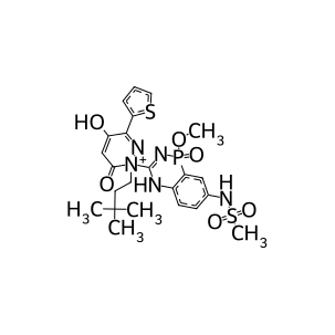 COP1(=O)N=C([N+]2(CCC(C)(C)C)N=C(c3cccs3)C(O)=CC2=O)Nc2ccc(NS(C)(=O)=O)cc21